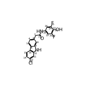 O=C(Cc1ccc2c(c1)[nH]c1cc(Cl)ccc12)Nc1cc(F)c(O)c(F)c1